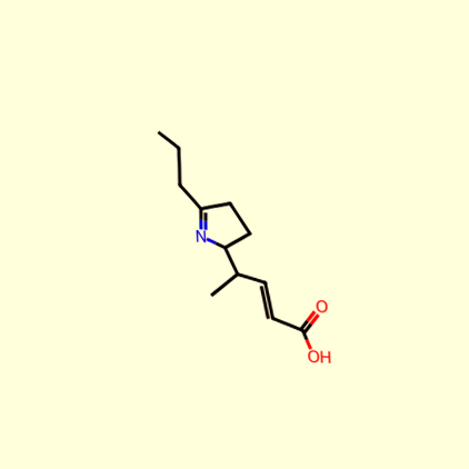 CCCC1=NC(C(C)C=CC(=O)O)CC1